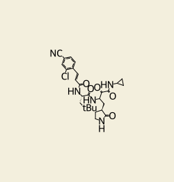 CC(C)(C)C[C@H](NC(=O)/C=C/c1ccc(C#N)cc1Cl)C(=O)NC(C[C@@H]1CCNC1=O)C(=O)C(=O)NC1CC1